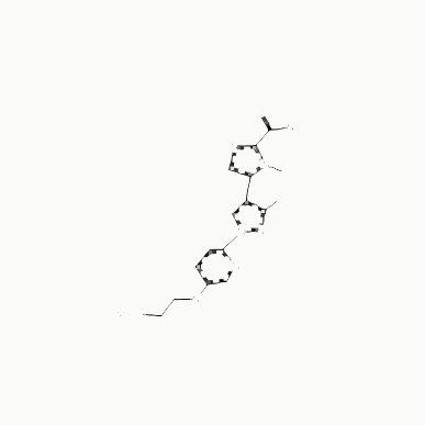 COCCNc1ccc(-n2cc(-c3cnc(C(N)=O)n3C)c(C(F)(F)F)n2)nc1